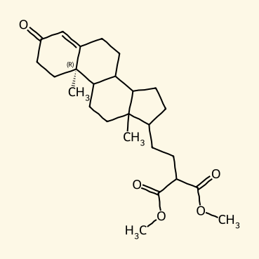 COC(=O)C(CCC1CCC2C3CCC4=CC(=O)CC[C@]4(C)C3CCC12C)C(=O)OC